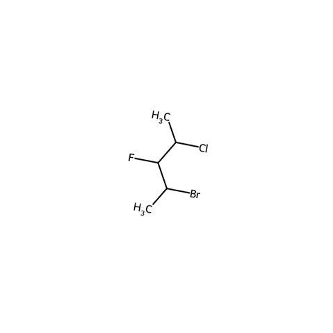 CC(Cl)C(F)C(C)Br